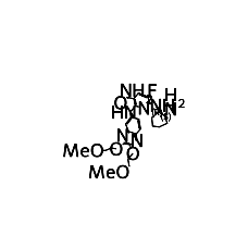 COCCOc1nc2ccc(Nc3nc(N[C@@H]4CCCC[C@@H]4N)c(F)cc3C(N)=O)cc2nc1OCCOC